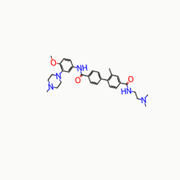 COc1ccc(NC(=O)c2ccc(-c3ccc(C(=O)NCCN(C)C)cc3C)cc2)cc1N1CCN(C)CC1